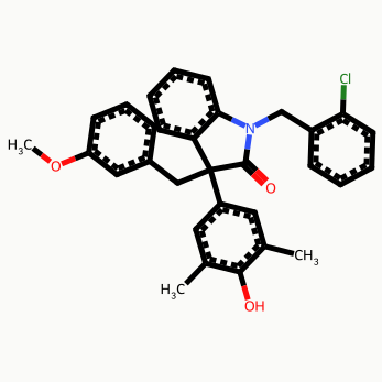 COc1cccc(CC2(c3cc(C)c(O)c(C)c3)C(=O)N(Cc3ccccc3Cl)c3ccccc32)c1